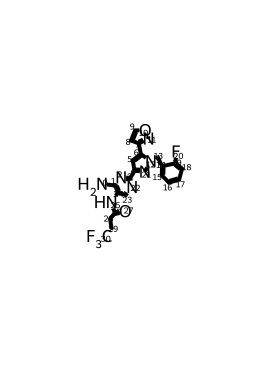 Nc1nc(-c2cc(-c3ccon3)n(Cc3ccccc3F)n2)ncc1NC(=O)CCC(F)(F)F